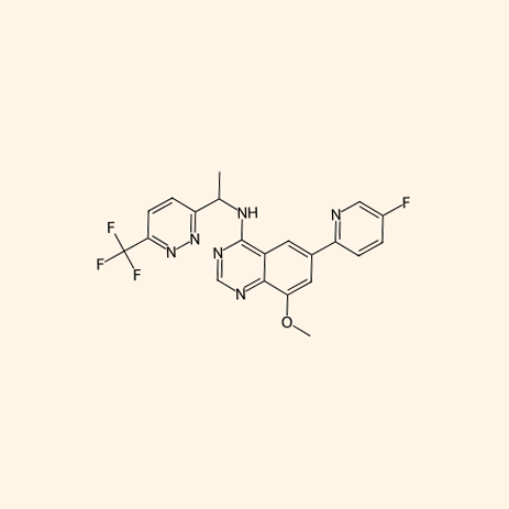 COc1cc(-c2ccc(F)cn2)cc2c(NC(C)c3ccc(C(F)(F)F)nn3)ncnc12